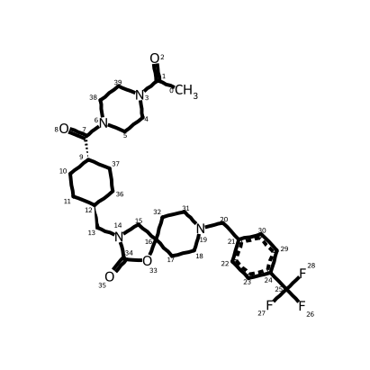 CC(=O)N1CCN(C(=O)[C@H]2CC[C@H](CN3CC4(CCN(Cc5ccc(C(F)(F)F)cc5)CC4)OC3=O)CC2)CC1